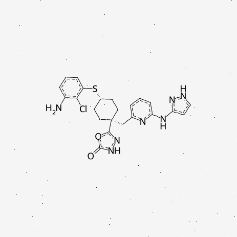 Nc1cccc(S[C@H]2CC[C@](Cc3cccc(Nc4cc[nH]n4)n3)(c3n[nH]c(=O)o3)CC2)c1Cl